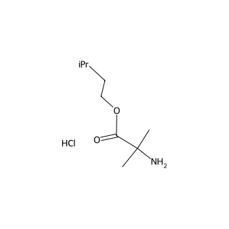 CC(C)CCOC(=O)C(C)(C)N.Cl